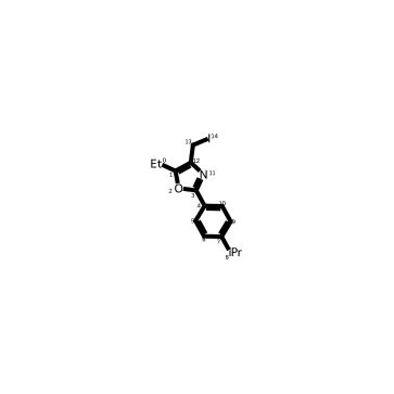 CCc1oc(-c2ccc(C(C)C)cc2)nc1CI